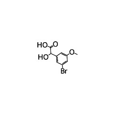 COc1cc(Br)cc(C(O)C(=O)O)c1